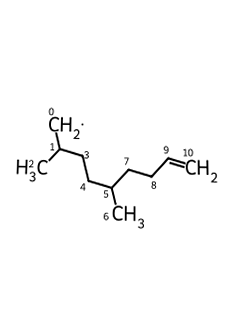 [CH2]C(C)CCC(C)CCC=C